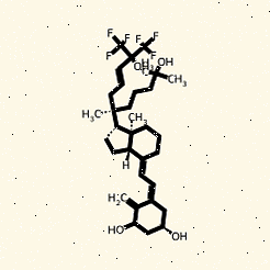 C=C1/C(=C\C=C2/CCC[C@]3(C)[C@@H]([C@@](C)(C/C=C/C(O)(C(F)(F)F)C(F)(F)F)CCCC(C)(C)O)CC[C@@H]23)C[C@@H](O)CC1O